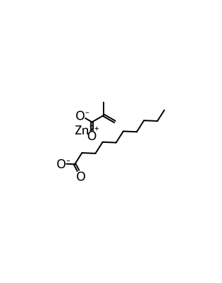 C=C(C)C(=O)[O-].CCCCCCCCCC(=O)[O-].[Zn+2]